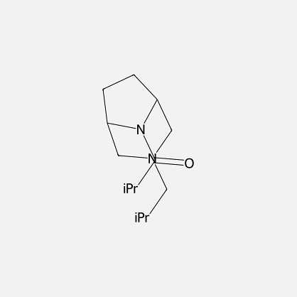 CC(C)CN1CC2CCC(C1)N2C(=O)C(C)C